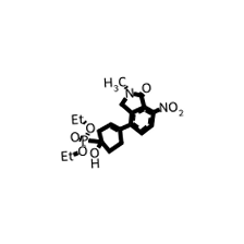 CCOP(=O)(OCC)C1(O)CC=C(c2ccc([N+](=O)[O-])c3c2CN(C)C3=O)CC1